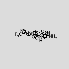 Nc1noc2c1ccc1[nH]c([C@H](O)[C@H]3OCCN(c4ccn(-c5ccnc(C(F)(F)F)c5)n4)C3=O)nc(=O)c12